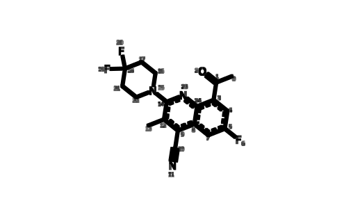 CC(=O)c1cc(F)cc2c(C#N)c(C)c(N3CCC(F)(F)CC3)nc12